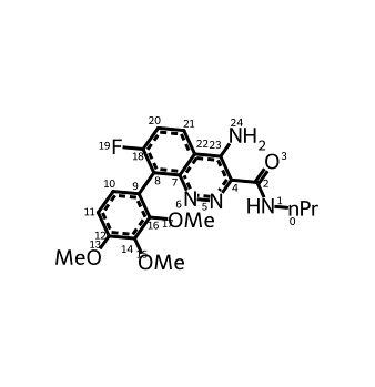 CCCNC(=O)c1nnc2c(-c3ccc(OC)c(OC)c3OC)c(F)ccc2c1N